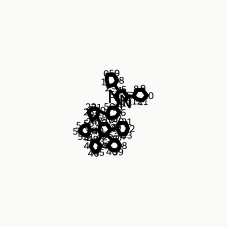 c1ccc(-c2cc(-c3ccccc3)nc(-c3cccc(-c4ccccc4-c4cc(-c5ccccc5)c(-c5ccccc5)c(-c5ccccc5)c4-c4ccccc4)c3)n2)cc1